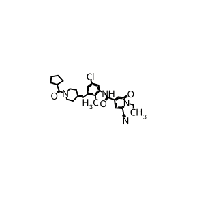 CCn1c(C#N)cc(C(=O)Nc2cc(Cl)cc(C=C3CCN(C(=O)C4CCCC4)CC3)c2C)cc1=O